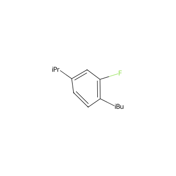 CCC(C)c1ccc(C(C)C)cc1F